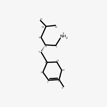 CC1=CCC(C[C@@H](CN)CC(C)C)CC1